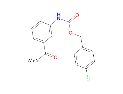 CNC(=O)c1cccc(NC(=O)OCc2ccc(Cl)cc2)c1